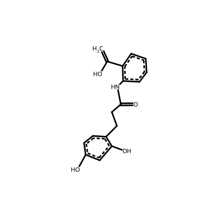 C=C(O)c1ccccc1NC(=O)CCc1ccc(O)cc1O